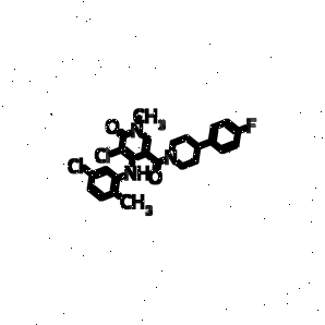 Cc1ccc(Cl)cc1Nc1c(C(=O)N2CCC(c3ccc(F)cc3)CC2)cn(C)c(=O)c1Cl